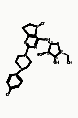 [O-][S+]1CCc2nc(N3CCN(c4ccc(Cl)cc4)CC3)nc(N[C@@H]3O[C@H](CO)[C@@H](O)[C@H]3O)c21